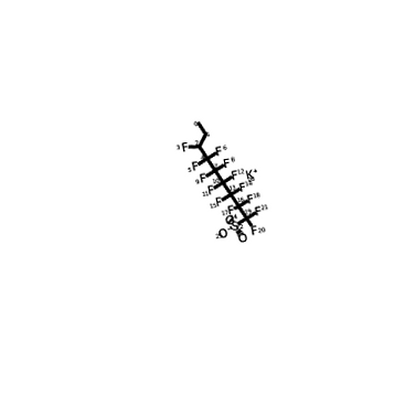 CCC(F)C(F)(F)C(F)(F)C(F)(F)C(F)(F)C(F)(F)C(F)(F)S(=O)(=O)[O-].[K+]